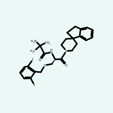 CC(C)(N)C(=O)N[C@H](COCc1c(F)cccc1F)C(=O)N1CCC2(CCc3ccccc32)CC1